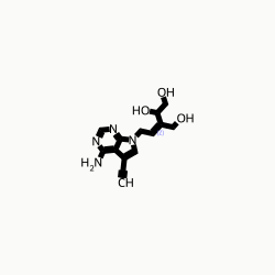 C#Cc1cn(C/C=C(/CO)C(O)CO)c2ncnc(N)c12